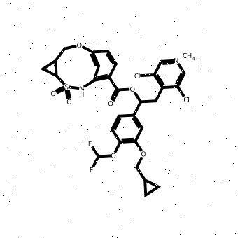 C.O=C(OC(Cc1c(Cl)cncc1Cl)c1ccc(OC(F)F)c(OCC2CC2)c1)c1ccc2cc1NS(=O)(=O)C1CC1CO2